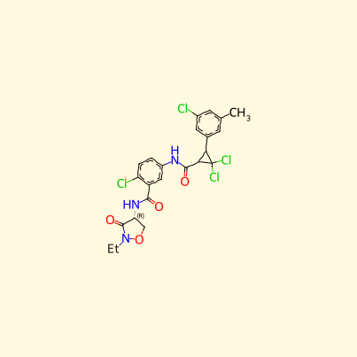 CCN1OC[C@@H](NC(=O)c2cc(NC(=O)C3C(c4cc(C)cc(Cl)c4)C3(Cl)Cl)ccc2Cl)C1=O